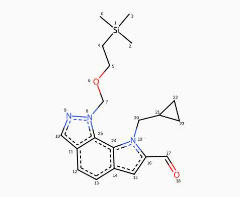 C[Si](C)(C)CCOCn1ncc2ccc3cc(C=O)n(CC4CC4)c3c21